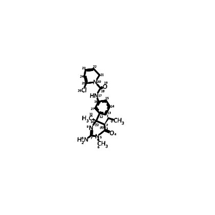 CC[C@H]1C(=O)N(C)C(N)=N[C@]1(C)c1cccc(NC(=O)N2CC=CC=C2Cl)c1